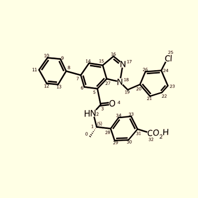 C[C@H](NC(=O)c1cc(-c2ccccc2)cc2cnn(Cc3cccc(Cl)c3)c12)c1ccc(C(=O)O)cc1